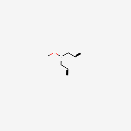 C=CC[SiH](CC=C)OC(C)C